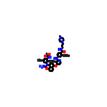 COc1cc(Nc2cc(Oc3ccc(N(C(N)=O)c4cc(C(C)(C)C)cc(NS(C)(=O)=O)c4OC)c4ccccc34)ccn2)ccc1C(=O)NCCCN1CCN(C)CC1